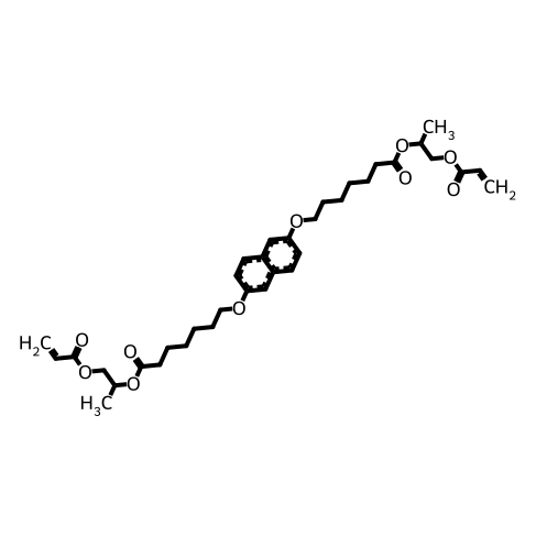 C=CC(=O)OCC(C)OC(=O)CCCCCCOc1ccc2cc(OCCCCCCC(=O)OC(C)COC(=O)C=C)ccc2c1